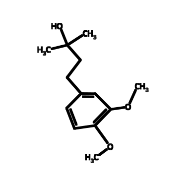 COc1ccc(CCC(C)(C)O)cc1OC